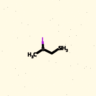 CB(I)C[SiH3]